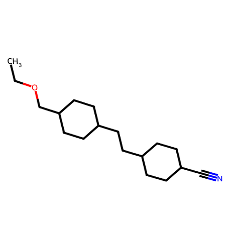 CCOCC1CCC(CCC2CCC(C#N)CC2)CC1